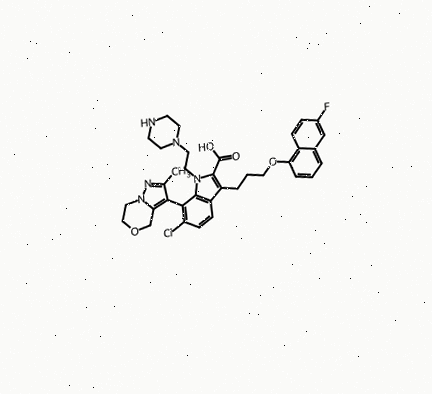 Cc1nn2c(c1-c1c(Cl)ccc3c(CCCOc4cccc5cc(F)ccc45)c(C(=O)O)n(CCN4CCNCC4)c13)COCC2